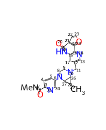 CNC(=O)c1ccc(N2CCN(Cc3cnc4c(c3)[nH]c(=O)c3ccoc34)C3C2[C@H]3C)cn1